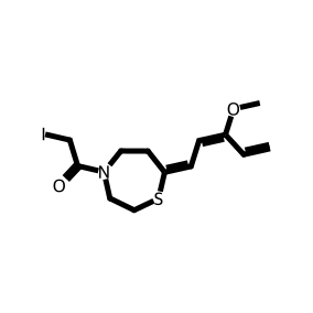 C=C/C(=C\C=C1/CCN(C(=O)CI)CCS1)OC